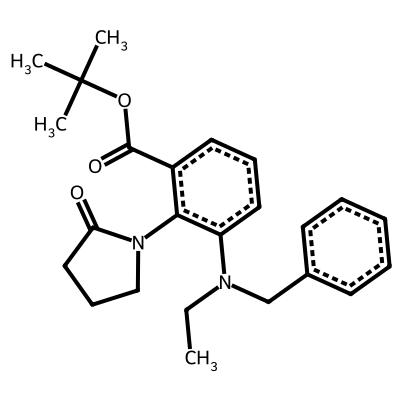 CCN(Cc1ccccc1)c1cccc(C(=O)OC(C)(C)C)c1N1CCCC1=O